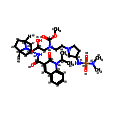 COC(=O)N(CCN1CCC(NS(=O)(=O)N(C)C)C1)CC(O)CN1[C@@H]2CC[C@H]1C[C@@H](NC(=O)c1cc3ccccc3n(C(C)C)c1=O)C2